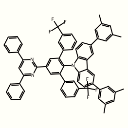 Cc1cc(C)cc(-c2ccc3c(c2)c2cc(-c4cc(C)cc(C)c4)ccc2n3-c2c(-c3cccc(C(F)(F)F)c3)cc(-c3nc(-c4ccccc4)cc(-c4ccccc4)n3)cc2-c2cccc(C(F)(F)F)c2)c1